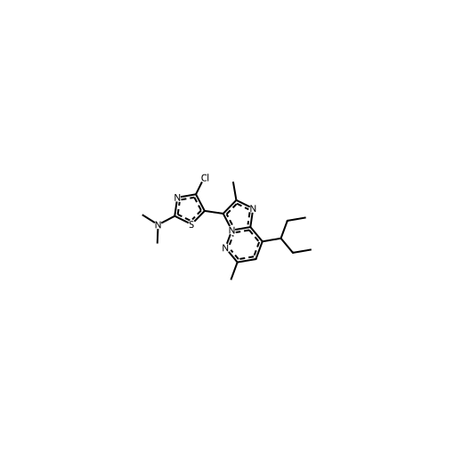 CCC(CC)c1cc(C)nn2c(-c3sc(N(C)C)nc3Cl)c(C)nc12